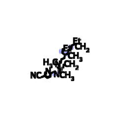 C=CC[C@@H](CN(C)CCCC(/C=C\CC)=C(\C)C/C=C/C(=C)CC)C(C)/N=C/c1ccc(CC#N)cn1